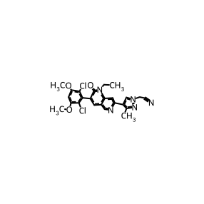 CCn1c(=O)c(-c2c(Cl)c(OC)cc(OC)c2Cl)cc2cnc(-c3cn(CC#N)nc3C)cc21